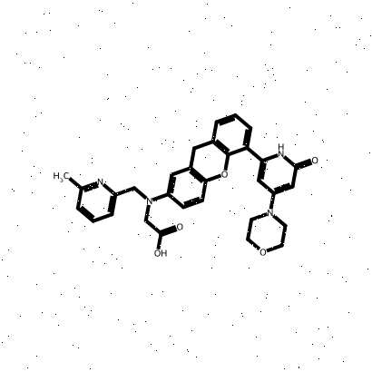 Cc1cccc(CN(CC(=O)O)c2ccc3c(c2)Cc2cccc(-c4cc(N5CCOCC5)cc(=O)[nH]4)c2O3)n1